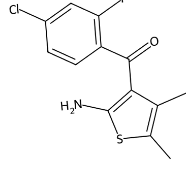 Cc1sc(N)c(C(=O)c2ccc(Cl)cc2F)c1C